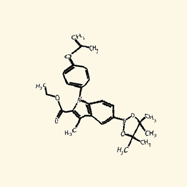 CCOC(=O)c1c(C)c2cc(B3OC(C)(C)C(C)(C)O3)ccc2n1-c1ccc(OC(C)C)cc1